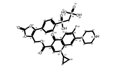 O=C(OCc1oc(=O)oc1-c1ccc(P(=O)(O)CP(=O)(O)O)cc1)c1cn(C2CC2)c2cc(N3CCNCC3)c(F)cc2c1=O